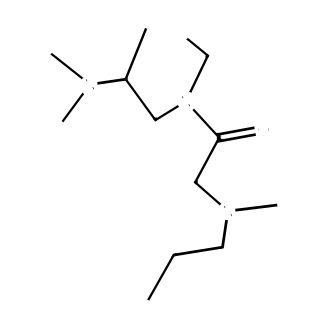 CCCN(C)CC(=O)N(CC)CC(C)N(C)C